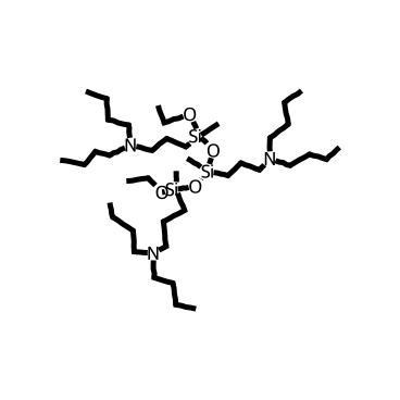 CCCCN(CCCC)CCC[Si](C)(OCC)O[Si](C)(CCCN(CCCC)CCCC)O[Si](C)(CCCN(CCCC)CCCC)OCC